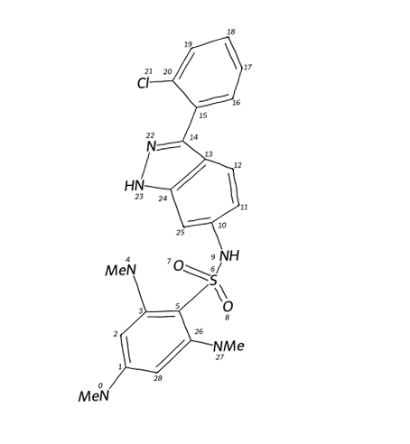 CNc1cc(NC)c(S(=O)(=O)Nc2ccc3c(-c4ccccc4Cl)n[nH]c3c2)c(NC)c1